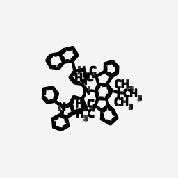 CC(C)(C)c1c2c(c(N(c3ccc(-c4cccc5ccccc45)cc3)c3ccc4c5ccccc5n(-c5ccccc5)c4c3)c3c1-c1ccccc1C3(C)C)C(C)(C)c1ccccc1-2